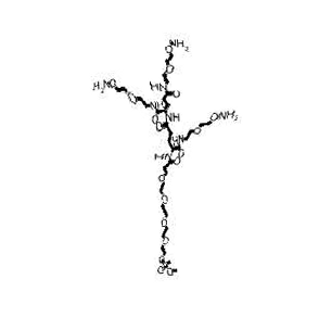 COP(C)(=O)OCCOCCOCCOCCOCCC(=O)NC(CCC(=O)NC(CCC(=O)NCCOCCON)C(=O)NCCOCCON)C(=O)NCCOCCON